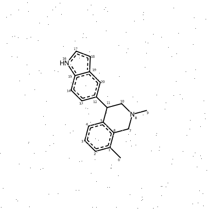 Cc1cccc2c1CN(C)CC2c1ccc2[nH]ccc2c1